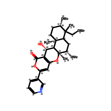 COCC1(C)C2C[C@H](OC)[C@@]3(C)Oc4cc(-c5cccnc5)oc(=O)c4[C@H](O)C3[C@@]2(C)CC[C@@H]1OC